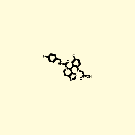 O=C(O)COc1ccc(Cl)cc1C1c2scnc2CCN1C(=O)NCc1ccc(F)cc1